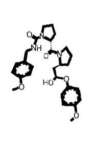 COc1ccc(CNC(=O)N2CCC[C@@H]2C(=O)N2CCC[C@H]2CC(O)Oc2ccc(OC)cc2)cc1